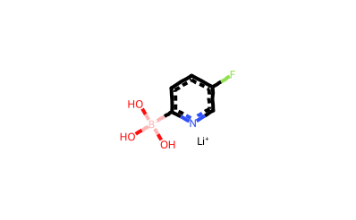 O[B-](O)(O)c1ccc(F)cn1.[Li+]